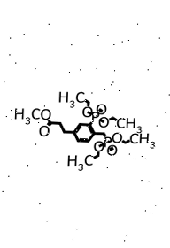 CCOP(=O)(Cc1ccc(CCC(=O)OC)cc1P(=O)(OCC)OCC)OCC